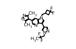 Cc1noc(C)c1-c1cnc2c(-c3cnn(CC(C)(F)F)c3)cn(CC3CC(F)(F)C3)c2c1